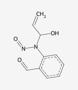 C=CC(O)N(N=O)c1ccccc1C=O